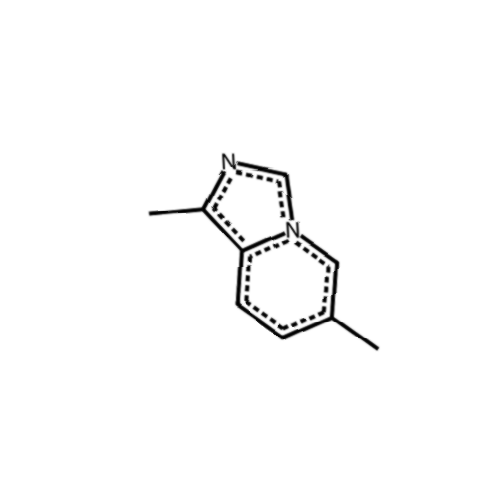 Cc1ccc2c(C)ncn2c1